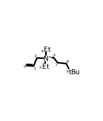 C=CC[N+](CC)(CC)CCCC(C)(C)C